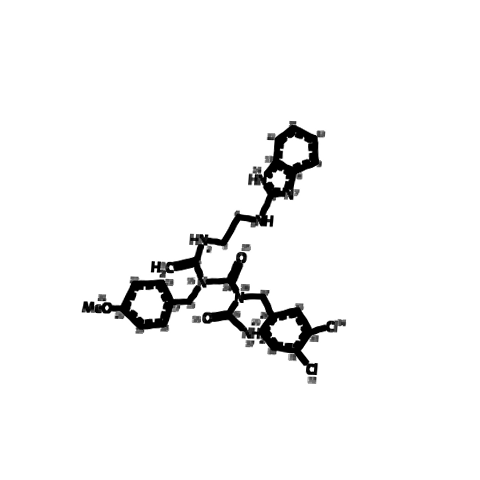 C=C(NCCNc1nc2ccccc2[nH]1)N(Cc1ccc(OC)cc1)C(=O)N(Cc1ccc(Cl)c(Cl)c1)C(N)=O